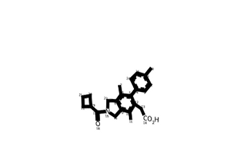 Cc1ccc(-c2c(C)c3c(c(C)c2CC(=O)O)CN(C(=O)C2CCC2)C3)cc1